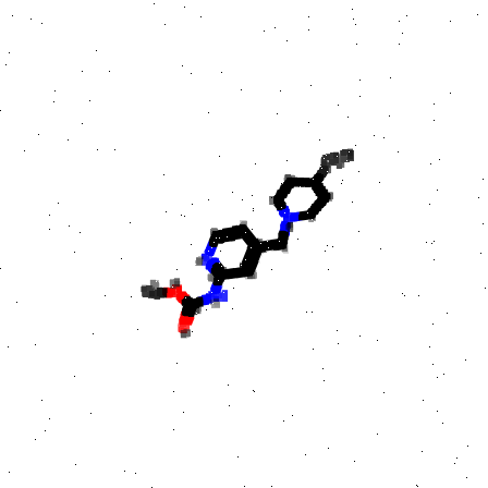 CCOC(=O)C1CCN(Cc2ccnc(NC(=O)OC(C)(C)C)c2)CC1